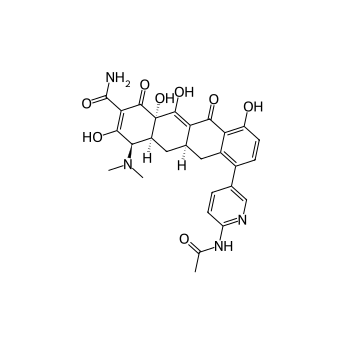 CC(=O)Nc1ccc(-c2ccc(O)c3c2C[C@H]2C[C@H]4[C@@H](N(C)C)C(O)=C(C(N)=O)C(=O)[C@@]4(O)C(O)=C2C3=O)cn1